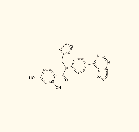 O=C(c1ccc(O)cc1O)N(Cc1ccsc1)c1ccc(-c2ncnc3ccsc23)cc1